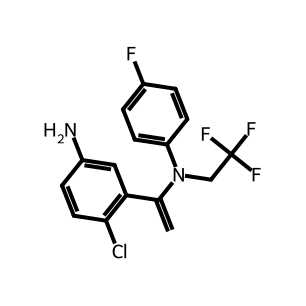 C=C(c1cc(N)ccc1Cl)N(CC(F)(F)F)c1ccc(F)cc1